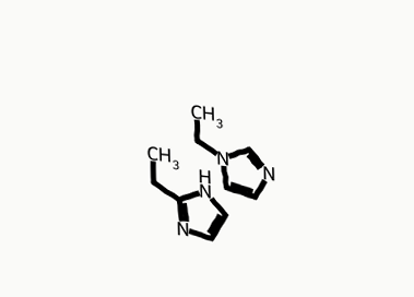 CCc1ncc[nH]1.CCn1ccnc1